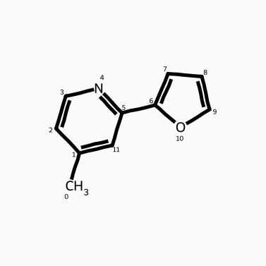 Cc1ccnc(-c2ccco2)c1